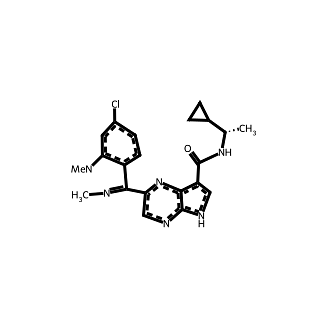 C/N=C(/c1cnc2[nH]cc(C(=O)N[C@@H](C)C3CC3)c2n1)c1ccc(Cl)cc1NC